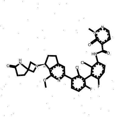 COc1nc(-c2ccc(F)c(-c3c(F)ccc(NC(=O)c4ccnn(C)c4=O)c3Cl)c2Cl)cc2c1[C@@H](N1CC3(CCC(=O)N3)C1)CC2